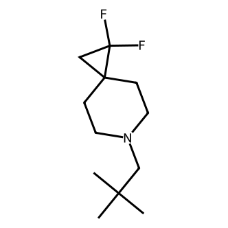 CC(C)(C)CN1CCC2(CC1)CC2(F)F